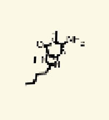 CCCCc1nc2nc(N)[nH]c(=O)c2[nH]1